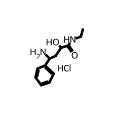 CCNC(=O)C(O)CC(N)c1ccccc1.Cl